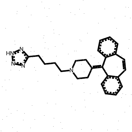 C1=Cc2ccccc2C(=C2CCN(CCCCc3nn[nH]n3)CC2)c2ccccc21